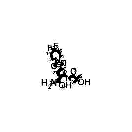 CC(C)(O)C(=O)Nc1sc(S(=O)(=O)N2CCC(F)(F)CC2)cc1C(N)=O